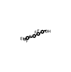 CCOc1ccc(OCc2ccc(-c3ccc(-c4ccc(CO)cc4)c(F)c3F)cc2)cc1F